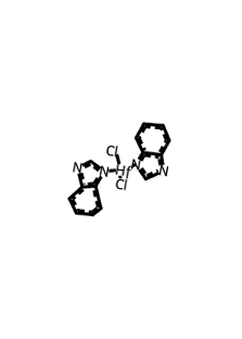 [Cl][Hf]([Cl])([n]1cnc2ccccc21)[n]1cnc2ccccc21